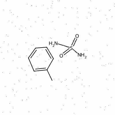 Cc1ccccc1.NS(N)(=O)=O